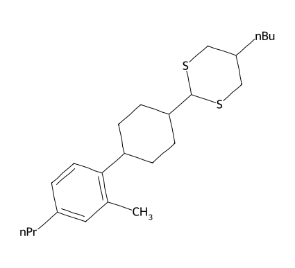 CCCCC1CSC(C2CCC(c3ccc(CCC)cc3C)CC2)SC1